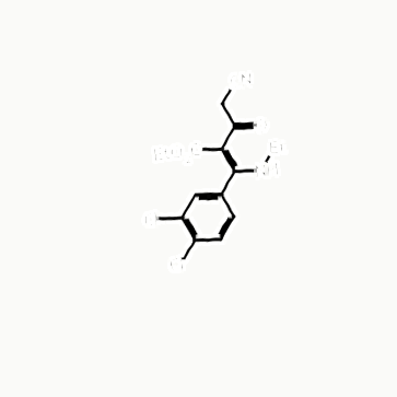 CCN/C(=C(\C(=O)CC#N)C(=O)OCC)c1ccc(Cl)c(Cl)c1